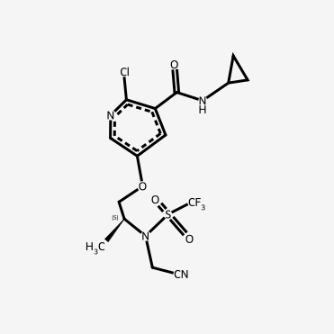 C[C@@H](COc1cnc(Cl)c(C(=O)NC2CC2)c1)N(CC#N)S(=O)(=O)C(F)(F)F